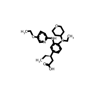 CCOc1ccc(Nc2cc([C@H](CC)CC(=O)O)ccc2N(CC)C2CCOCC2)nc1